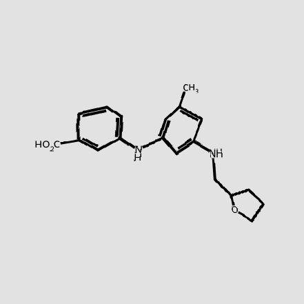 Cc1cc(NCC2CCCO2)cc(Nc2cccc(C(=O)O)c2)c1